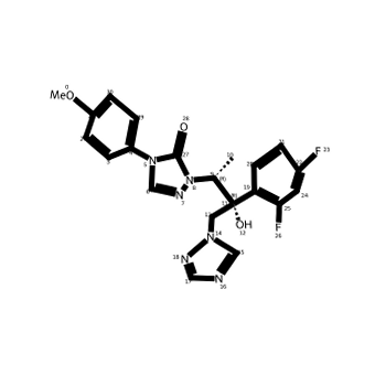 COc1ccc(-n2cnn([C@H](C)[C@](O)(Cn3cncn3)c3ccc(F)cc3F)c2=O)cc1